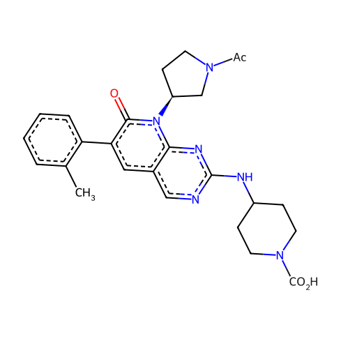 CC(=O)N1CC[C@H](n2c(=O)c(-c3ccccc3C)cc3cnc(NC4CCN(C(=O)O)CC4)nc32)C1